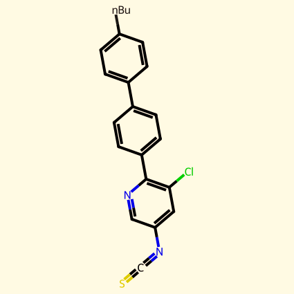 CCCCc1ccc(-c2ccc(-c3ncc(N=C=S)cc3Cl)cc2)cc1